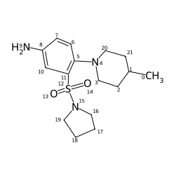 CC1CCN(c2ccc(N)cc2S(=O)(=O)N2CCCC2)CC1